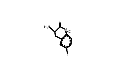 Cl.NC1Cc2cc(F)ccc2NC1=O